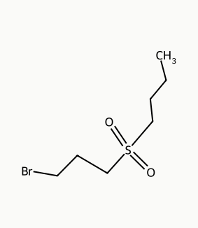 CCCCS(=O)(=O)CCCBr